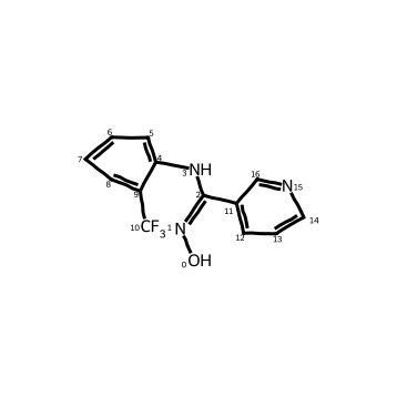 ON=C(Nc1ccccc1C(F)(F)F)c1cccnc1